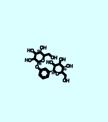 OCC1O[C@H](Oc2cccc([C@H]3OC(CO)[C@@H](O)C(O)C3O)c2)C(O)C(O)[C@@H]1O